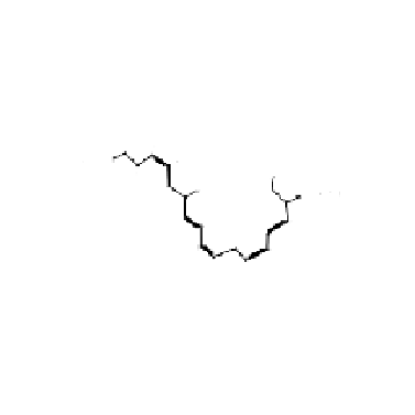 CCCCCC(/C=C/C=C\C/C=C\C=C\C(O)C/C=C\CCC(=O)O)CO